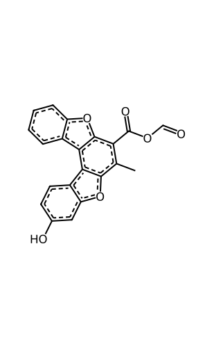 Cc1c(C(=O)OC=O)c2oc3ccccc3c2c2c1oc1cc(O)ccc12